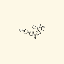 BN1CCN(c2ccc(Nc3ncc4c(C)c(C(C)=O)c(=O)n(C5CCCC5)c4n3)nc2)CC1